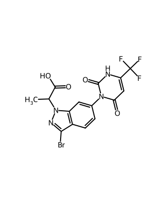 CC(C(=O)O)n1nc(Br)c2ccc(-n3c(=O)cc(C(F)(F)F)[nH]c3=O)cc21